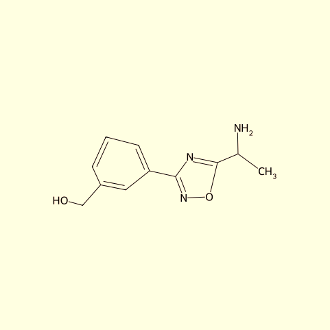 CC(N)c1nc(-c2cccc(CO)c2)no1